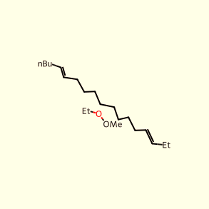 CC/C=C/CCCCCCCC/C=C/CCCC.CCOOC